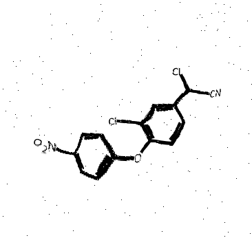 N#CC(Cl)c1ccc(Oc2ccc([N+](=O)[O-])cc2)c(Cl)c1